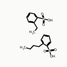 CCCCc1ccccc1S(=O)(=O)O.CCc1ccccc1S(=O)(=O)O